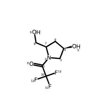 O=C(N1C[C@H](O)CC1CO)C(F)(F)F